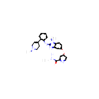 CNC(=O)c1cc(Oc2ccc3c(c2)nc(Nc2ccccc2C2=CCN(C)CC2)n3C)ccn1